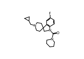 O=C(N1CCCCC1)N1CC2(CCN(CC3CC3)CC2)c2cc(F)ccc21